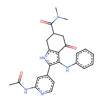 CC(=O)Nc1cc(-c2[nH]c3c(c2Nc2ccccc2)C(=O)CC(C(=O)N(C)C)C3)ccn1